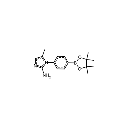 Cc1cnc(N)n1-c1ccc(B2OC(C)(C)C(C)(C)O2)cc1